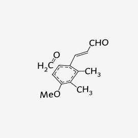 C=O.COc1ccc(C=CC=O)c(C)c1C